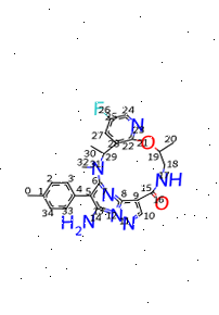 Cc1ccc(-c2c3nc4c(cnn4c2N)C(=O)NCC(C)Oc2ncc(F)cc2C(C)N3C)cc1